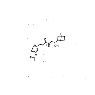 O=C(NCc1ccnc(OC(F)F)c1)NCC(O)C1CC2(F)CCC12